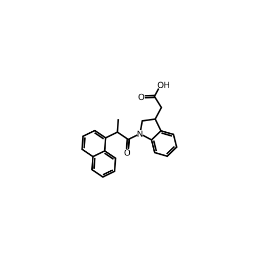 CC(C(=O)N1CC(CC(=O)O)c2ccccc21)c1cccc2ccccc12